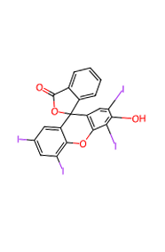 O=C1OC2(c3ccccc31)c1cc(I)cc(I)c1Oc1c2cc(I)c(O)c1I